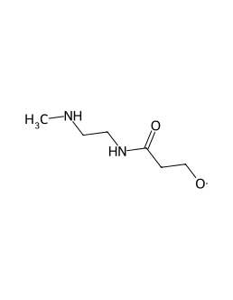 CNCCNC(=O)CC[O]